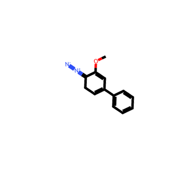 COC1=CC(c2ccccc2)=CCC1=[N+]=[N-]